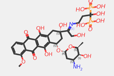 COc1cccc2c1C(=O)c1c(O)c3c(c(O)c1C2=O)C[C@@](O)(/C(CO)=N/CCC(O)(P(=O)(O)O)P(=O)(O)O)C[C@@H]3O[C@H]1C[C@H](N)[C@H](O)[C@H](C)O1